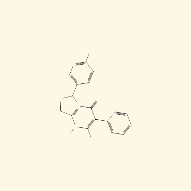 Cn1c(O)c(-c2ccccc2)c(=O)[n+]2c1COC2c1ccc(Cl)nc1